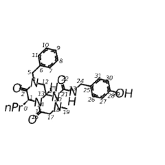 CCC[C@H]1C(=O)N(Cc2ccccc2)C[C@H]2N1C(=O)CN(C)N2C(=O)NCc1ccc(O)cc1